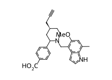 C#CC[C@H]1CCN(Cc2c(OC)cc(C)c3[nH]ccc23)C(c2ccc(C(=O)O)cc2)C1